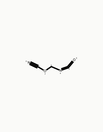 N#COCN=C=O